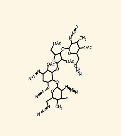 CC(=O)OCC1OC(OC2C(OC(C)=O)C(N=[N+]=[N-])CC(N=[N+]=[N-])C2OC2OC(CN=[N+]=[N-])C(C)C(F)C2N=[N+]=[N-])C(OC(C)=O)C1OC1OC(CN=[N+]=[N-])C(OC(C)=O)C(C)C1N=[N+]=[N-]